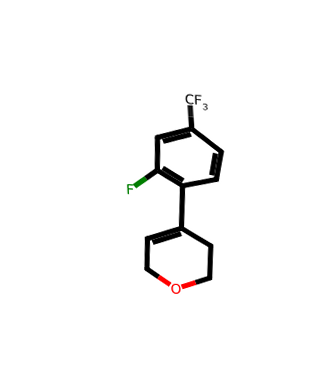 Fc1cc(C(F)(F)F)ccc1C1=CCOCC1